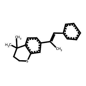 CC(=Cc1ccccc1)c1ccc2c(c1)SCCC2(C)C